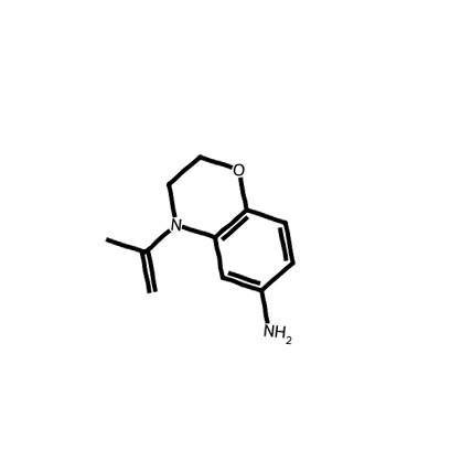 C=C(C)N1CCOc2ccc(N)cc21